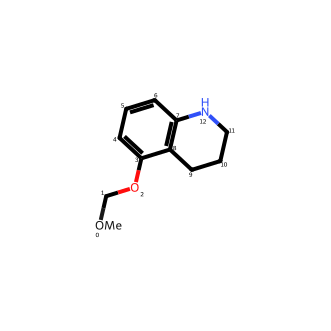 COCOc1cccc2c1CCCN2